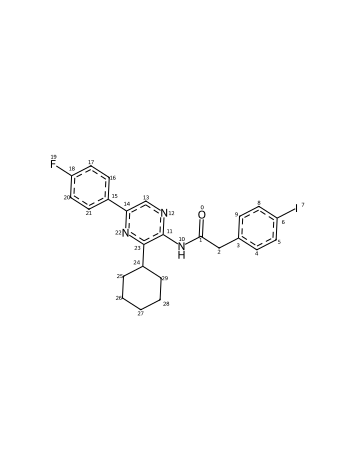 O=C(Cc1ccc(I)cc1)Nc1ncc(-c2ccc(F)cc2)nc1C1CCCCC1